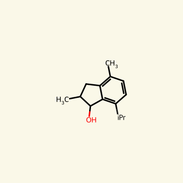 Cc1ccc(C(C)C)c2c1CC(C)C2O